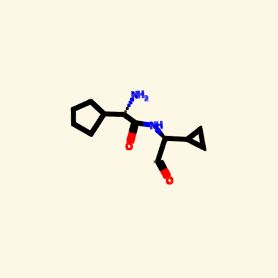 N[C@H](C(=O)N[C@H]([C]=O)C1CC1)C1CCCC1